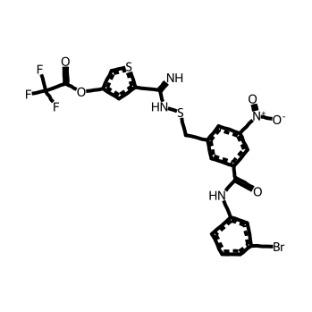 N=C(NSCc1cc(C(=O)Nc2cccc(Br)c2)cc([N+](=O)[O-])c1)c1cc(OC(=O)C(F)(F)F)cs1